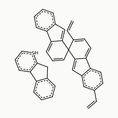 C=CC1=CC=C2C(=Cc3cc(C=C)ccc32)C12C=CC=C1C2=Cc2ccccc21.c1ccc2c(c1)Cc1[siH]cccc1-2